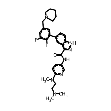 CN(C)CCN(C)c1ccc(NC(=O)c2n[nH]c3ccc(-c4cc(CN5CCCCC5)cc(F)c4F)cc23)cn1